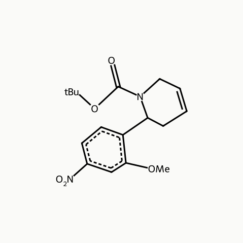 COc1cc([N+](=O)[O-])ccc1C1CC=CCN1C(=O)OC(C)(C)C